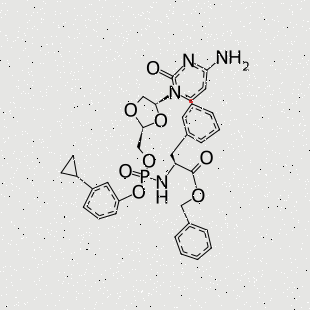 Nc1ccn([C@@H]2CO[C@H](COP(=O)(N[C@@H](Cc3ccccc3)C(=O)OCc3ccccc3)Oc3cccc(C4CC4)c3)O2)c(=O)n1